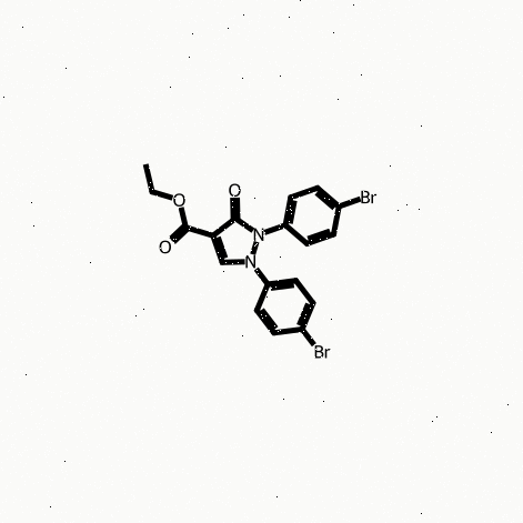 CCOC(=O)c1cn(-c2ccc(Br)cc2)n(-c2ccc(Br)cc2)c1=O